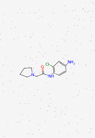 Nc1ccc(NC(=O)CN2CCCC2)c(Cl)c1